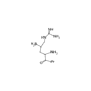 BC(CNC(=N)N)CC(N)C(=O)C(C)C